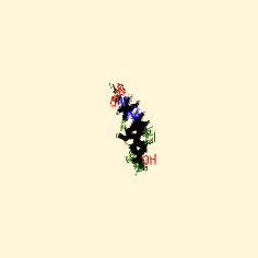 CCc1c(F)c(CN2CC3(C2)CN(S(C)(=O)=O)C3)cc(F)c1-c1ccc(C(O)(C(F)(F)F)C(F)(F)F)cc1Cl